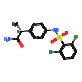 C[C@@H](C(N)=O)c1ccc(NS(=O)(=O)c2c(Cl)cccc2Cl)cc1